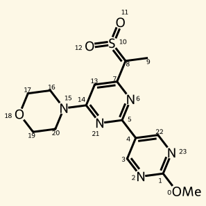 COc1ncc(-c2nc(C(C)=S(=O)=O)cc(N3CCOCC3)n2)cn1